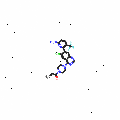 C=CC(=O)N1CCN(c2ncnc3cc(-c4nc(N)ccc4C(F)(F)F)c(Cl)cc23)CC1